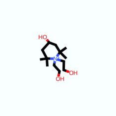 CC1(C)CC(O)CC(C)(C)[N+]1(CCO)CCO